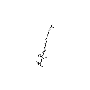 CCN(CC)CCNC(=O)CCCCCCCCCCCCCCC(C)C